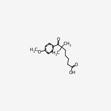 COc1ccc(C(=O)C(C)(C)CCCCC(=O)O)cc1